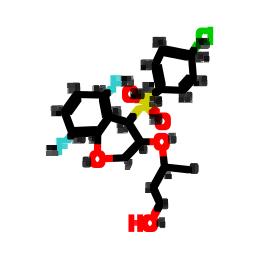 CC(CCO)OC1COc2c(F)ccc(F)c2C1S(=O)(=O)c1ccc(Cl)cc1